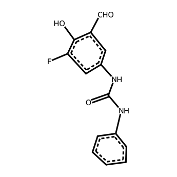 O=Cc1cc(NC(=O)Nc2ccccc2)cc(F)c1O